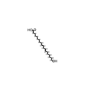 O=C(O)CCCCCCCCC=CCC=CCCCCCCO